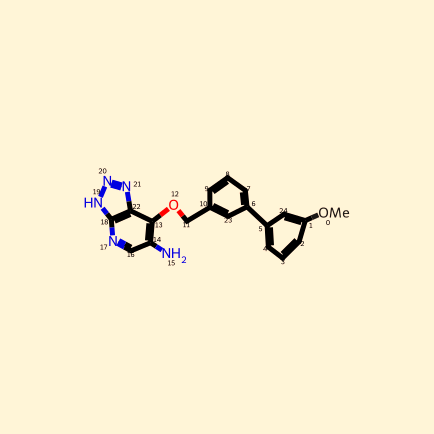 COc1cccc(-c2cccc(COc3c(N)cnc4[nH]nnc34)c2)c1